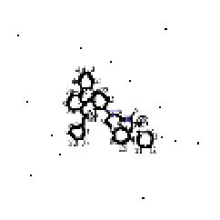 C=C/C(=C\C=C(/C)P(=O)(c1ccccc1)c1ccccc1)c1cccc2c1nc(-c1ccccc1)c1cccc(-c3ccccc3)c12